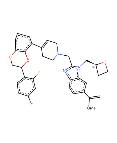 C=C(OC)c1ccc2nc(CN3CC=C(c4cccc5c4OC(c4ccc(Cl)cc4F)CO5)CC3)n(C[C@@H]3CCO3)c2c1